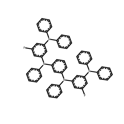 Fc1cc(N(c2ccccc2)c2ccccc2)cc(N(c2ccccc2)c2cccc(N(c3ccccc3)c3cc(F)cc(N(c4ccccc4)c4ccccc4)c3)c2)c1